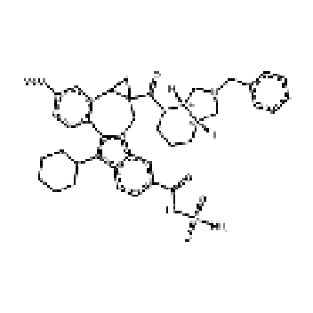 COc1ccc2c(c1)C1CC1(C(=O)N1CCC[C@H]3CN(Cc4ccccc4)C[C@H]31)Cn1c-2c(C2CCCCC2)c2ccc(C(=O)NS(N)(=O)=O)cc21